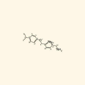 CC(C)c1ccc(OCc2ccc(CN)nn2)cc1